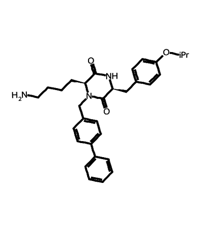 CC(C)Oc1ccc(C[C@@H]2NC(=O)[C@H](CCCCN)N(Cc3ccc(-c4ccccc4)cc3)C2=O)cc1